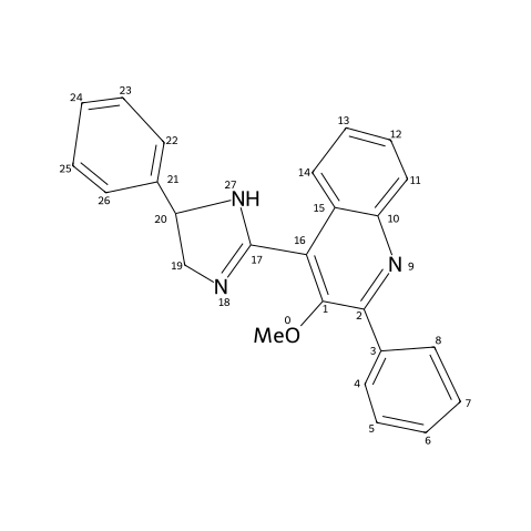 COc1c(-c2ccccc2)nc2ccccc2c1C1=NCC(c2ccccc2)N1